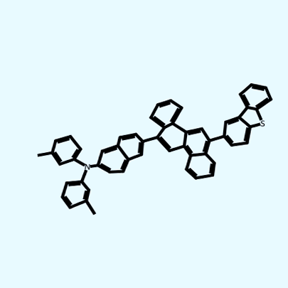 Cc1cccc(N(c2cccc(C)c2)c2ccc3cc(-c4cc5c6ccccc6c(-c6ccc7sc8ccccc8c7c6)cc5c5ccccc45)ccc3c2)c1